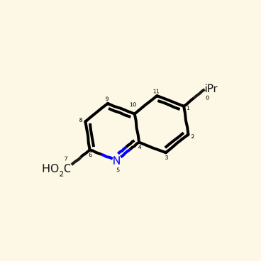 CC(C)c1ccc2nc(C(=O)O)ccc2c1